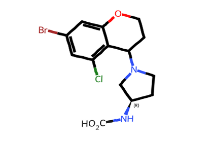 O=C(O)N[C@@H]1CCN(C2CCOc3cc(Br)cc(Cl)c32)C1